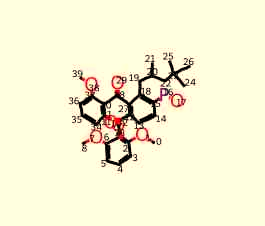 COc1cccc(OC)c1C(=O)c1ccc(P=O)c(CC(C)CC(C)(C)C)c1C(=O)c1c(OC)cccc1OC